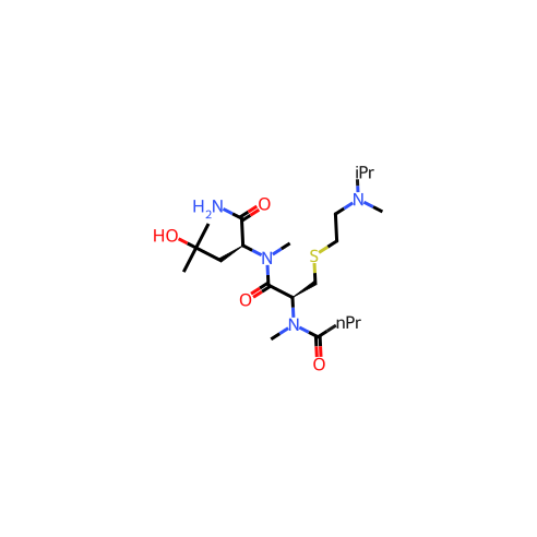 CCCC(=O)N(C)[C@H](CSCCN(C)C(C)C)C(=O)N(C)[C@@H](CC(C)(C)O)C(N)=O